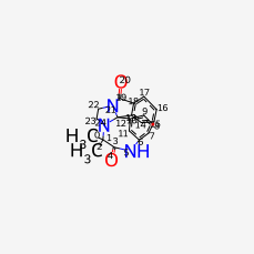 CC1(C)C(=O)Nc2cccc(c2)C23c4ccccc4C(=O)N2CCN13